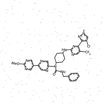 COc1ncc(-c2cnc(N(C(=O)NCc3ccccc3)C3CCC(Nc4ncc(C(F)(F)F)c(-c5nn(C)cc5Cl)n4)CC3)cn2)cn1